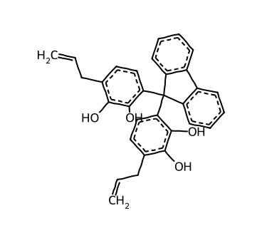 C=CCc1ccc(C2(c3ccc(CC=C)c(O)c3O)c3ccccc3-c3ccccc32)c(O)c1O